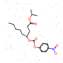 [CH2]C([CH2])OC(=O)CCC(CCCCC)OC(=O)Oc1ccc([N+](=O)[O-])cc1